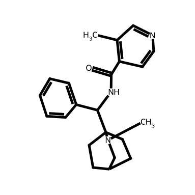 Cc1cnccc1C(=O)NC(c1ccccc1)C12CCC(CC1)CN2C